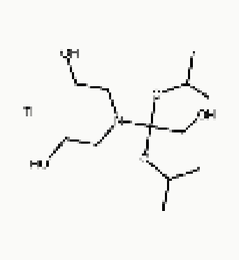 CC(C)OC(CO)(OC(C)C)N(CCO)CCO.[Ti]